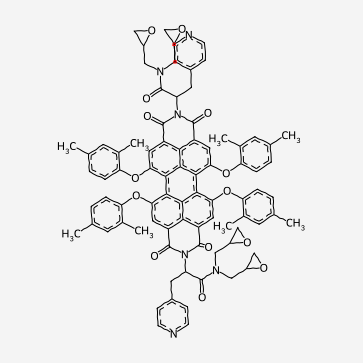 Cc1ccc(Oc2cc3c4c(cc(Oc5ccc(C)cc5C)c5c6c(Oc7ccc(C)cc7C)cc7c8c(cc(Oc9ccc(C)cc9C)c(c2c45)c86)C(=O)N(C(Cc2ccncc2)C(=O)N(CC2CO2)CC2CO2)C7=O)C(=O)N(C(Cc2ccncc2)C(=O)N(CC2CO2)CC2CO2)C3=O)c(C)c1